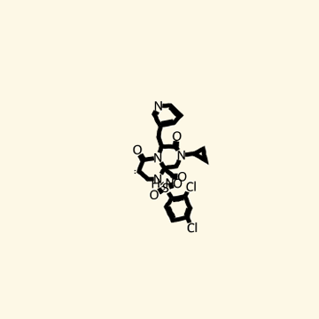 NC(=O)C12CN(C3CC3)C(=O)C(Cc3cccnc3)N1C(=O)[C]CN2S(=O)(=O)c1ccc(Cl)cc1Cl